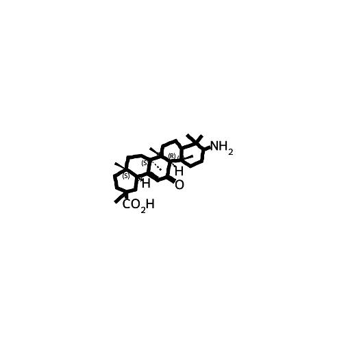 CC1(C(=O)O)CC[C@]2(C)CC[C@]3(C)C(=CC(=O)[C@@H]4[C@@]5(C)CCC(N)C(C)(C)C5CC[C@]43C)[C@H]2C1